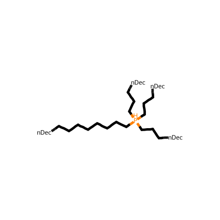 CCCCCCCCCCCCCCCCCC[PH](CCCCCCCCCCCCC)(CCCCCCCCCCCCC)CCCCCCCCCCCCC